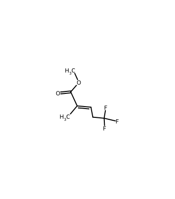 COC(=O)C(C)=CCC(F)(F)F